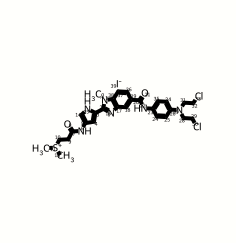 Cn1c(-c2cc(NC(=O)CC[S+](C)C)c[nH]2)nc2cc(C(=O)Nc3ccc(N(CCCl)CCCl)cc3)ccc21.[I-]